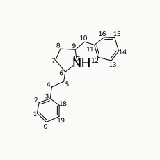 c1ccc(CCC2CCC(Cc3ccccc3)N2)cc1